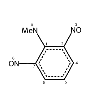 CNc1c(N=O)cccc1N=O